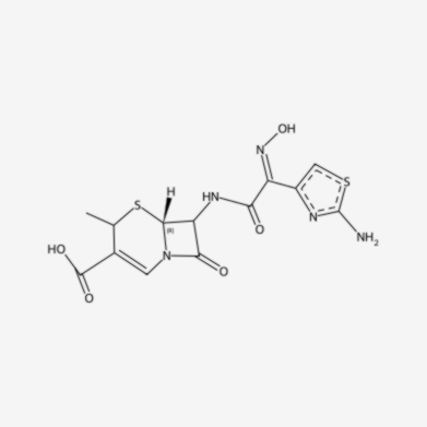 CC1S[C@@H]2C(NC(=O)C(=NO)c3csc(N)n3)C(=O)N2C=C1C(=O)O